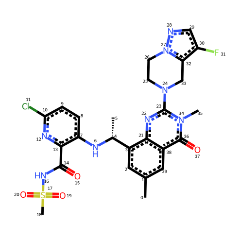 Cc1cc([C@@H](C)Nc2ccc(Cl)nc2C(=O)NS(C)(=O)=O)c2nc(N3CCn4ncc(F)c4C3)n(C)c(=O)c2c1